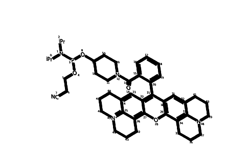 CC(C)N(C(C)C)P(OCCC#N)OC1CCN(C(=O)c2ccccc2C2=c3cc4c5c(c3Oc3c2cc2c6c3CCCN6CCC2)CCC[N+]=5CCC4)CC1